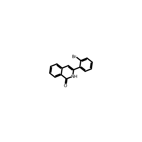 O=c1[nH]c(-c2ccccc2Br)cc2ccccc12